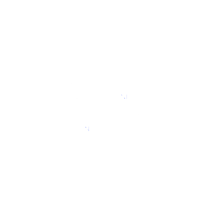 CCCN1CC2(CC2)c2c([nH]c3cccc(F)c23)[C@@H]1c1ccc(Cl)cc1OC